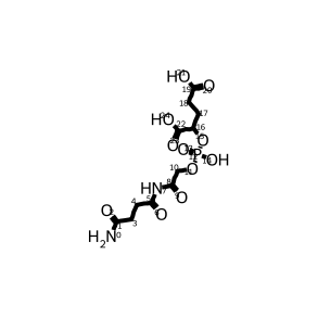 NC(=O)CCC(=O)NC(=O)COP(=O)(O)OC(CCC(=O)O)C(=O)O